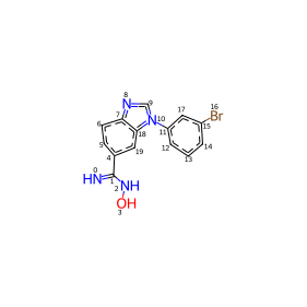 N=C(NO)c1ccc2ncn(-c3cccc(Br)c3)c2c1